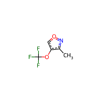 Cc1nocc1OC(F)(F)F